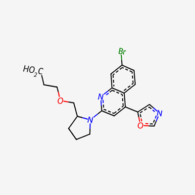 O=C(O)CCOCC1CCCN1c1cc(-c2cnco2)c2ccc(Br)cc2n1